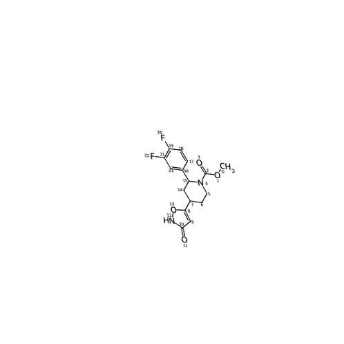 COC(=O)N1CCC(c2cc(=O)[nH]o2)CC1c1ccc(F)c(F)c1